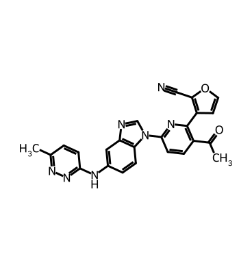 CC(=O)c1ccc(-n2cnc3cc(Nc4ccc(C)nn4)ccc32)nc1-c1ccoc1C#N